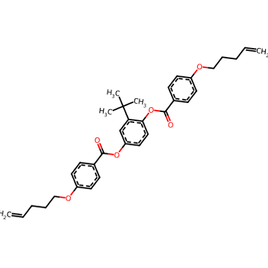 C=CCCCOc1ccc(C(=O)Oc2ccc(OC(=O)c3ccc(OCCCC=C)cc3)c(C(C)(C)C)c2)cc1